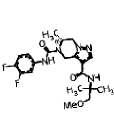 COCC(C)(C)NC(=O)c1cnn2c1CN(C(=O)Nc1ccc(F)c(F)c1)[C@H](C)C2